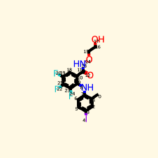 Cc1cc(I)ccc1Nc1c(C(=O)NOCCO)cc(F)c(F)c1F